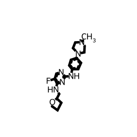 CN1CCN(c2ccc(Nc3ncc(F)c(NCC4CCCO4)n3)cc2)CC1